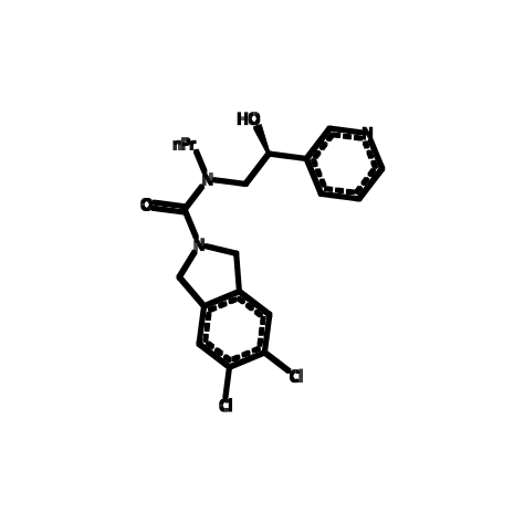 CCCN(C[C@@H](O)c1cccnc1)C(=O)N1Cc2cc(Cl)c(Cl)cc2C1